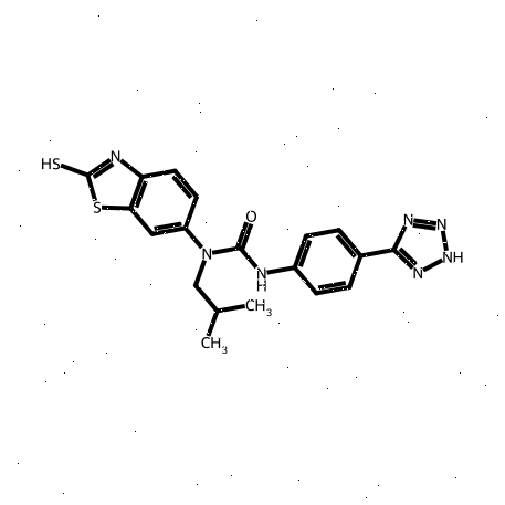 CC(C)CN(C(=O)Nc1ccc(-c2nn[nH]n2)cc1)c1ccc2nc(S)sc2c1